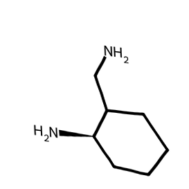 NCC1CCCC[C@H]1N